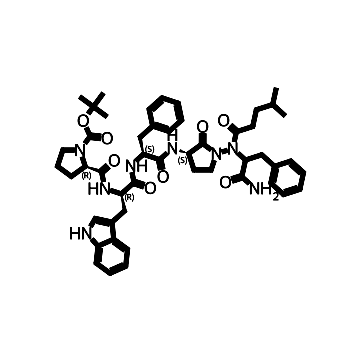 CC(C)CCC(=O)N(C(Cc1ccccc1)C(N)=O)N1CC[C@H](NC(=O)[C@H](Cc2ccccc2)NC(=O)[C@@H](Cc2c[nH]c3ccccc23)NC(=O)[C@H]2CCCN2C(=O)OC(C)(C)C)C1=O